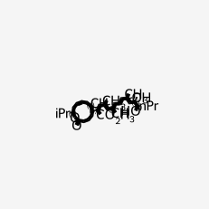 CCC[C@@H](O)[C@H](O)C=C(C)C=CC=C(C)C=C(C)C=C(C(=O)O)[C@H]1CCCC(=O)O[C@@H](C(C)C)CC=CC[C@@H]1C